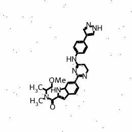 COCC(C)N(C)C(=O)C1=CC2C=CC(C3=NCCC(Nc4ccc(-c5cn[nH]c5)cc4)=N3)=CC2N1